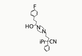 CC(C)C(C#N)(CCCN1CCN(C(O)CCc2ccc(F)cc2)CC1)c1ccccc1